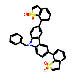 O=S1(=O)C=Cc2cccc(-c3ccc4c(c3)c3cc(-c5cccc6c5S(=O)(=O)C=C6)ccc3n4Cc3ccccc3)c21